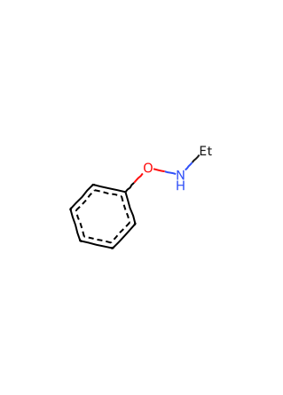 CCNOc1ccccc1